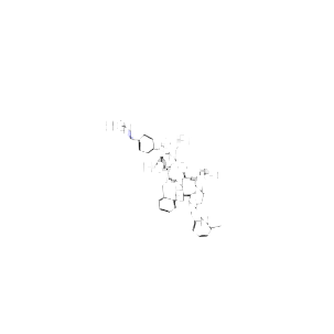 CC[C@H](C)[C@@H](C(=O)N[C@@H](Cc1ccccc1)[C@H](O)CN(CC(C)C)S(=O)(=O)c1ccc(/C=N/O)cc1)N1CCN(Cc2cccc(C)n2)C1=O